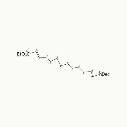 CCCCCCCCCCCCCCCCCCCC/C=C/C(=O)OCC